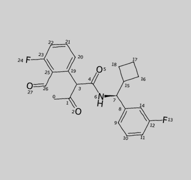 CC(=O)C(C(=O)N[C@H](c1cccc(F)c1)C1CCC1)c1cccc(F)c1C=O